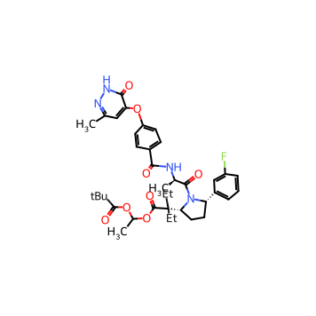 CCC(CC)(C(=O)OC(C)OC(=O)C(C)(C)C)[C@H]1CC[C@@H](c2cccc(F)c2)N1C(=O)[C@@H](C)NC(=O)c1ccc(Oc2cc(C)n[nH]c2=O)cc1